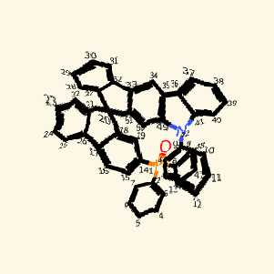 O=P(C1=CCCC=C1)(c1ccccc1)c1ccc2c(c1)C1(c3ccccc3-2)c2ccccc2-c2cc3c4ccccc4n(-c4ccccc4)c3cc21